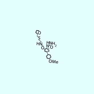 COc1ccc(-c2cc(OCNCCSCc3ccco3)c(NC(N)=O)s2)cc1